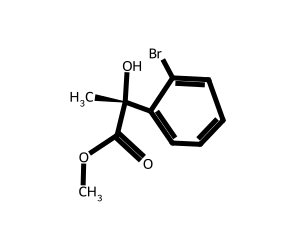 COC(=O)[C@](C)(O)c1ccccc1Br